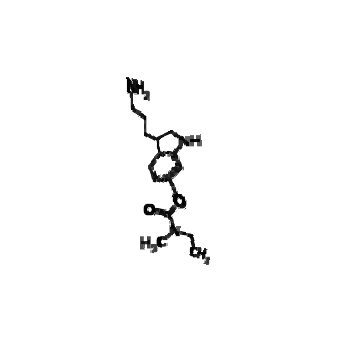 CCN(C)C(=O)Oc1ccc2c(c1)NCC2CCCN